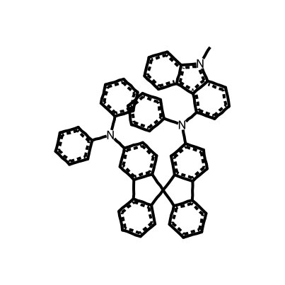 Cn1c2ccccc2c2c(N(c3ccccc3)c3ccc4c(c3)C3(c5ccccc5-c5cc(N(c6ccccc6)c6ccccc6)ccc53)c3ccccc3-4)cccc21